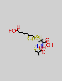 CC(C)(S)[C@H](N)C(=O)O.CC(CS)C(=O)O.O=C(O)CCCCC(S)CCS